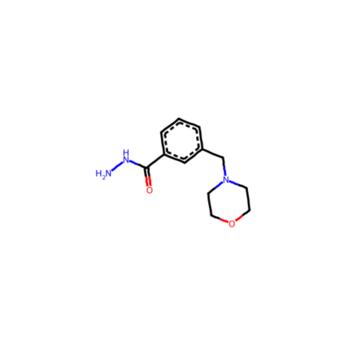 NNC(=O)c1cccc(CN2CCOCC2)c1